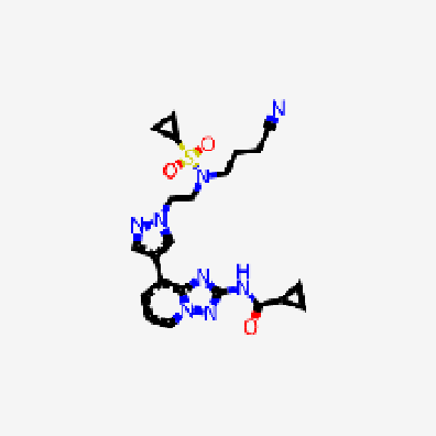 N#CCCCN(CCn1cc(-c2cccn3nc(NC(=O)C4CC4)nc23)cn1)S(=O)(=O)C1CC1